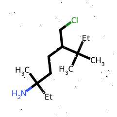 CCC(C)(N)CCC(CCl)C(C)(C)CC